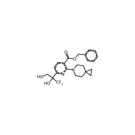 O=C(OCc1ccccc1)c1ccc(C(O)(CO)C(F)(F)F)nc1N1CCC2(CC1)CC2